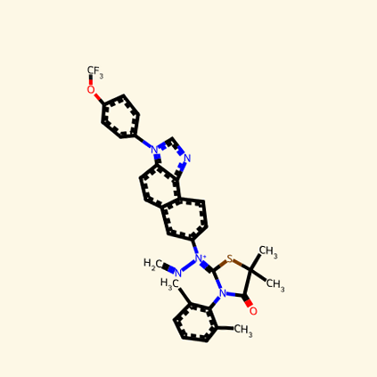 C=N/[N+](=C1/SC(C)(C)C(=O)N1c1c(C)cccc1C)c1ccc2c(ccc3c2ncn3-c2ccc(OC(F)(F)F)cc2)c1